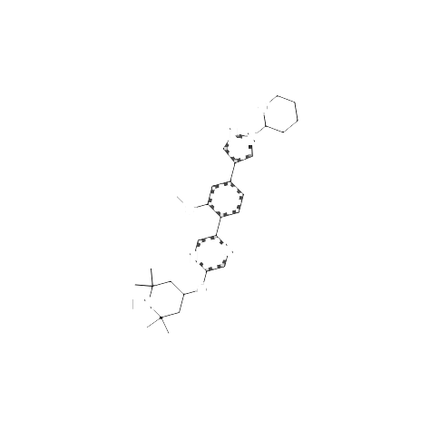 COc1cc(-c2cnn(C3CCCCO3)c2)ccc1-c1cnc(OC2CC(C)(C)NC(C)(C)C2)cn1